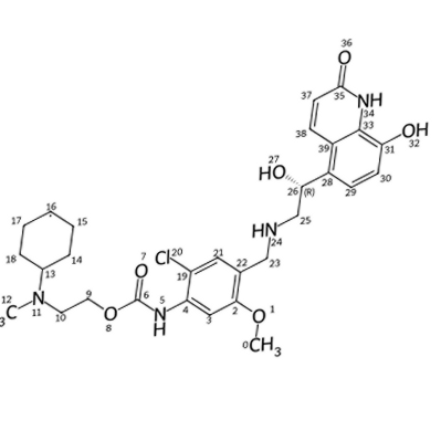 COc1cc(NC(=O)OCCN(C)C2CC[CH]CC2)c(Cl)cc1CNC[C@H](O)c1ccc(O)c2[nH]c(=O)ccc12